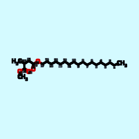 CCCCCCCCCCCCCCCCCCOC(=O)CC(C)C(=O)OC